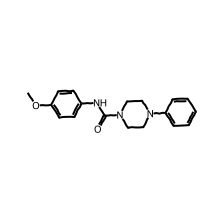 COc1ccc(NC(=O)N2CCN(c3ccccc3)CC2)cc1